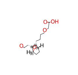 O=CC[C@@H]1[C@H](CCCCOCC(=O)O)[C@@H]2CC[C@H]1O2